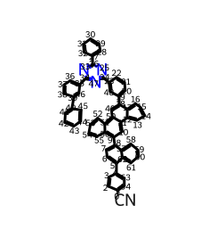 N#Cc1ccc(-c2ccc(-c3cc4c5ccccc5c(-c5cccc(-c6nc(-c7ccccc7)nc(-c7cccc(-c8ccccc8)c7)n6)c5)cc4c4ccccc34)c3ccccc23)cc1